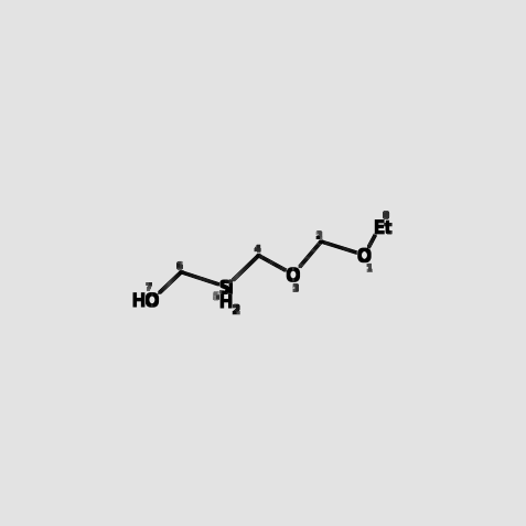 CCOCOC[SiH2]CO